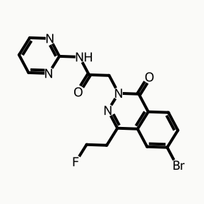 O=C(Cn1nc(CCF)c2cc(Br)ccc2c1=O)Nc1ncccn1